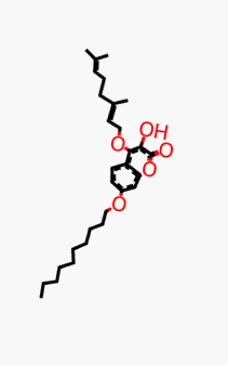 CCCCCCCCCCOc1ccc2c(OC/C=C(\C)CCC=C(C)C)c(O)c(=O)oc2c1